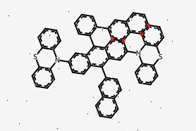 c1ccc2c(c1)Sc1ccccc1N2c1ccc2c(-c3ccccc3-c3ccc4ccccc4c3)c3cc(N4c5ccccc5Sc5ccccc54)ccc3c(-c3ccc4ccccc4c3)c2c1